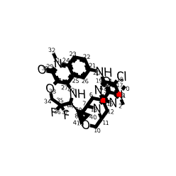 CN(C)C(=O)C1CC2COCC(C1)N2c1ncc(Cl)c(Nc2ccc3c(c2)c2c(c(=O)n3C)OCC(F)(F)[C@H](C3CC3)N2)n1